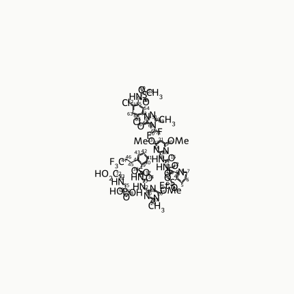 CCS(=O)(=O)c1cccnc1S(=O)(=O)NC(=O)Nc1nc(OC)cc(OC)n1.COc1nc(C)nc(NC(=O)NS(=O)(=O)c2ccccc2CCC(F)(F)F)n1.Cc1nn(-c2cc(NS(C)(=O)=O)c(Cl)cc2Cl)c(=O)n1C(F)F.O=C(O)CNCP(=O)(O)O